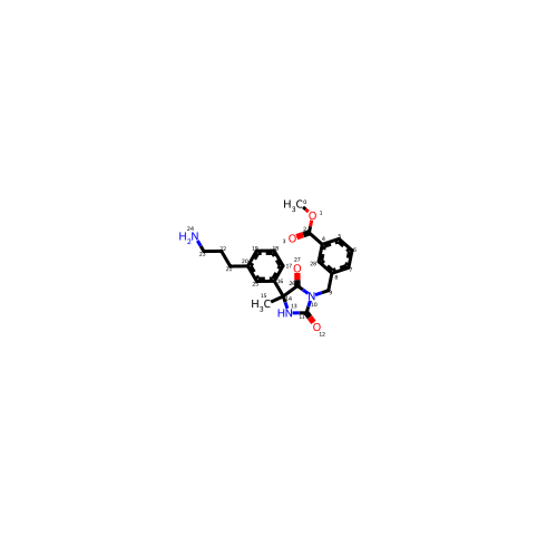 COC(=O)c1cccc(CN2C(=O)NC(C)(c3cccc(CCCN)c3)C2=O)c1